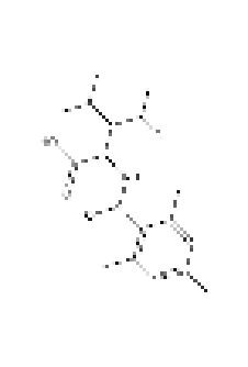 Cc1cc(C)c([S+]([O-])NC(C(=O)O)C(C(C)C)C(C)C)c(C)c1